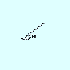 C=CN1C=CN(CCCCCCCC)C1.I